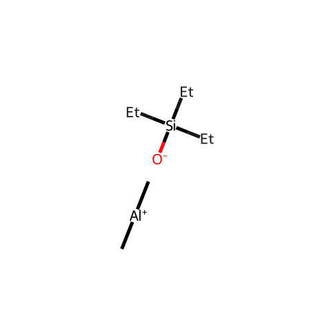 CC[Si]([O-])(CC)CC.[CH3][Al+][CH3]